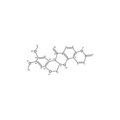 C=C1C=Cc2c(ccc3c2OC2COc4cc(OC)c(OC)cc4C2C3=C)O1